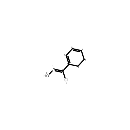 O/N=C(\Cl)C1=CC=CCC1